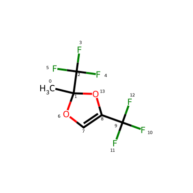 CC1(C(F)(F)F)OC=C(C(F)(F)F)O1